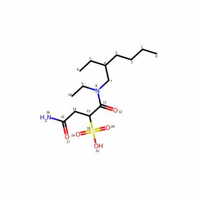 CCCCC(CC)CN(CC)C(=O)C(CC(N)=O)S(=O)(=O)O